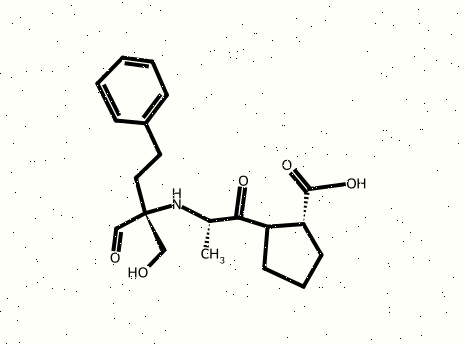 C[C@H](N[C@@](C=O)(CO)CCc1ccccc1)C(=O)C1CCC[C@H]1C(=O)O